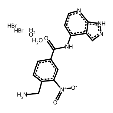 Br.Br.NCc1ccc(C(=O)Nc2ccnc3[nH]ncc23)cc1[N+](=O)[O-].O.O